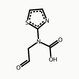 O=CCN(C(=O)O)c1nccs1